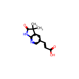 CC1(C)C(=O)Nc2ncc(/C=C/C(=O)O)cc21